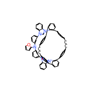 c1cc2cc(c1)-n1c[n+](c3ccccc31)-c1c3cccc1-c1ccc(cc1)CCc1ccc(cc1)-c1cccc(c1-[n+]1cn(c4ccccc41)-c1cccc(c1)N2c1ccco1)-c1ccc(cc1)CCc1ccc-3cc1